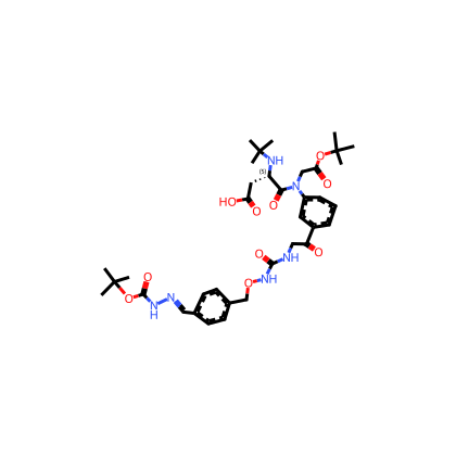 CC(C)(C)N[C@@H](CC(=O)O)C(=O)N(CC(=O)OC(C)(C)C)c1cccc(C(=O)CNC(=O)NOCc2ccc(C=NNC(=O)OC(C)(C)C)cc2)c1